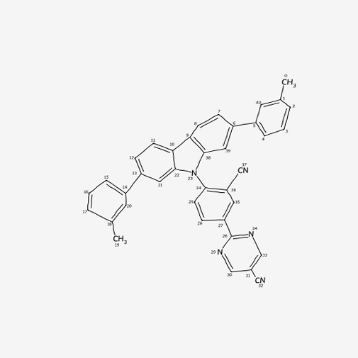 Cc1cccc(-c2ccc3c4ccc(-c5cccc(C)c5)cc4n(-c4ccc(-c5ncc(C#N)cn5)cc4C#N)c3c2)c1